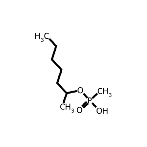 CCCCCC(C)OP(C)(=O)O